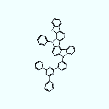 c1ccc(-c2cc(-c3ccccc3)nc(-c3cccc(-n4c5ccccc5c5c6c7ccc8c9ccccc9oc8c7n(-c7ccccc7)c6ccc54)c3)n2)cc1